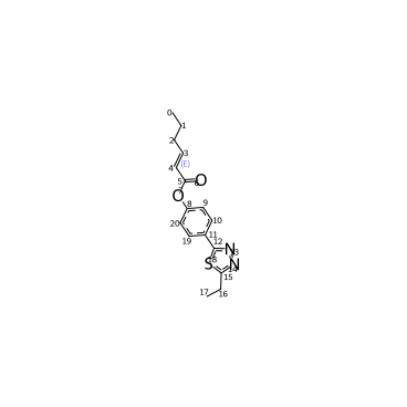 CCC/C=C/C(=O)Oc1ccc(-c2nnc(CC)s2)cc1